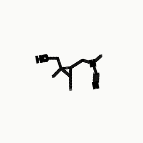 CC1C(CN(C)C#N)C1(C)CO